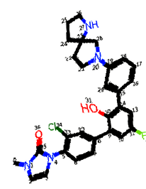 Cn1ccn(-c2ccc(-c3cc(F)cc(-c4cccc(N5CCC6(CCCN6)C5)c4)c3O)cc2Cl)c1=O